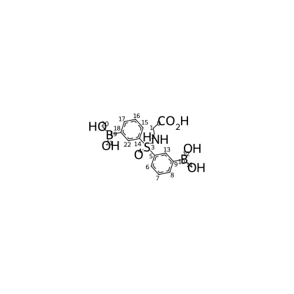 O=C(O)CN[SH](=O)(c1cccc(B(O)O)c1)c1cccc(B(O)O)c1